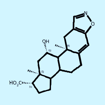 C[C@]12Cc3cnoc3C=C1CCC1C2[C@@H](O)C[C@@]2(C)C1CC[C@@H]2C(=O)O